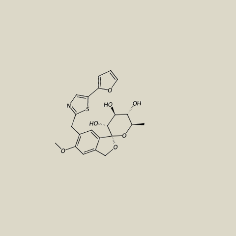 COc1cc2c(cc1Cc1ncc(-c3ccco3)s1)[C@]1(OC2)O[C@H](C)[C@@H](O)[C@H](O)[C@H]1O